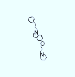 c1ccc(CCCN2CCc3cc(OCCCN4CCCCC4)ccc32)cc1